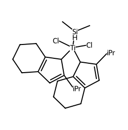 CC(C)C1=CC2=C(CCCC2)[CH]1[Ti]([Cl])([Cl])([CH]1C(C(C)C)=CC2=C1CCCC2)[SiH](C)C